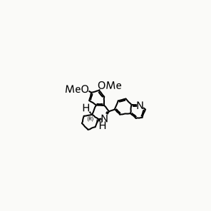 COc1cc2c(cc1OC)[C@H]1CCCC[C@H]1N=C2c1ccc2ncccc2c1